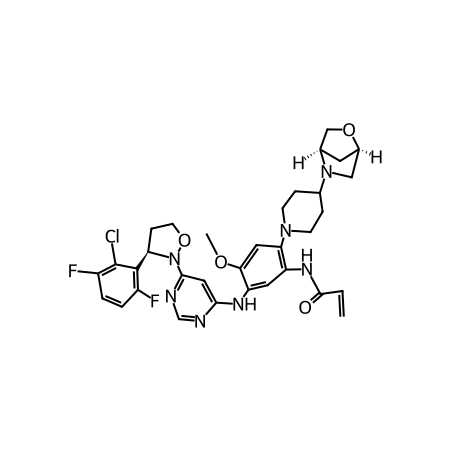 C=CC(=O)Nc1cc(Nc2cc(N3OCC[C@@H]3c3c(F)ccc(F)c3Cl)ncn2)c(OC)cc1N1CCC(N2C[C@H]3C[C@@H]2CO3)CC1